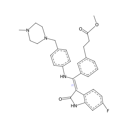 COC(=O)CCc1cccc(/C(Nc2ccc(CN3CCN(C)CC3)cc2)=C2/C(=O)Nc3cc(F)ccc32)c1